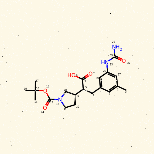 Cc1cc(C[C@H](C(=O)O)[C@H]2CCN(C(=O)OC(C)(C)C)C2)cc(NC(N)=O)c1